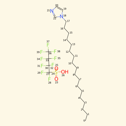 CCCCCCCCCCCCCCCCCCn1ccnc1.O=S(=O)(O)C(F)(F)C(F)(F)C(F)(F)C(F)(F)F